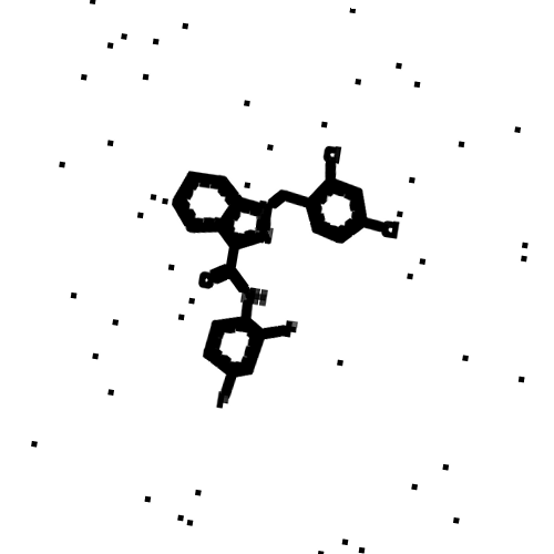 O=C(Nc1ccc(F)cc1F)c1nn(Cc2ccc(Cl)cc2Cl)c2ccccc12